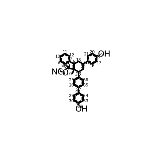 CC1(C(=O)OC#N)C(c2ccccc2)CC(c2ccc(O)cc2)CC1c1ccc(-c2ccc(O)cc2)cc1